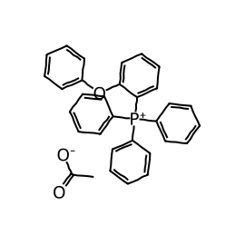 CC(=O)[O-].c1ccc(Oc2ccccc2[P+](c2ccccc2)(c2ccccc2)c2ccccc2)cc1